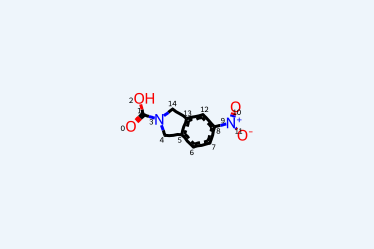 O=C(O)N1Cc2ccc([N+](=O)[O-])cc2C1